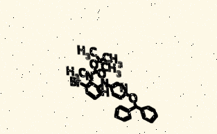 CN(C(=O)OC(C)(C)C)c1c(Br)cccc1Nc1ccc(OC(c2ccccc2)c2ccccc2)nc1